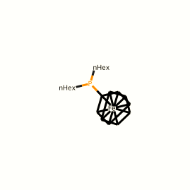 CCCCCCP(CCCCCC)[C]12[CH]3[CH]4[CH]5[CH]1[Fe]45321678[CH]2[CH]1[CH]6[CH]7[CH]28